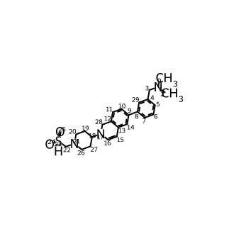 CN(C)Cc1cccc(-c2ccc3c(c2)C=CN(C2CCN(C[SH](=O)=O)CC2)C3)c1